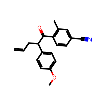 C=CCC(C(=O)c1ccc(C#N)cc1C)c1ccc(OC)cc1